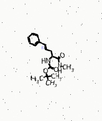 CNC(=O)C(C/C=C/c1ccccc1)NC(=O)OC(C)(C)C